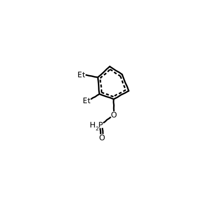 CCc1cccc(O[PH2]=O)c1CC